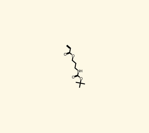 C=CC(=O)OCCCNC(=O)OC(C)(C)C